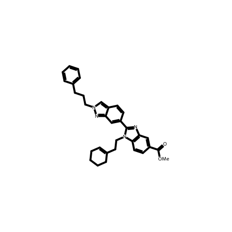 COC(=O)c1ccc2c(c1)nc(-c1ccc3cn(CCCc4ccccc4)nc3c1)n2CCC1=CCCCC1